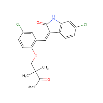 COC(=O)C(C)(C)COc1ccc(Cl)cc1C=C1C(=O)Nc2cc(Cl)ccc21